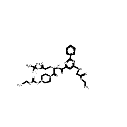 CCOC(=O)CNc1cc(C(=O)N[C@@H](CCC(=O)OC(C)(C)C)C(=O)N2CCN(OC(=O)OCC)CC2)nc(-c2ccccc2)n1